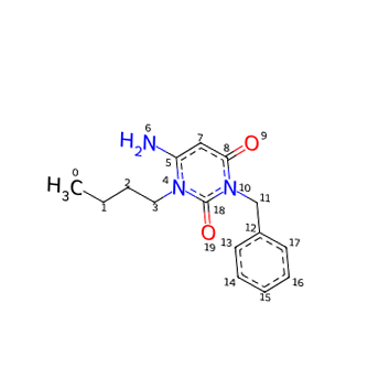 CCCCn1c(N)cc(=O)n(Cc2ccccc2)c1=O